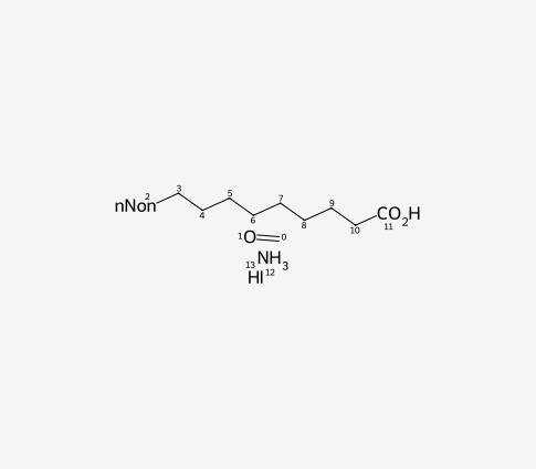 C=O.CCCCCCCCCCCCCCCCCC(=O)O.I.N